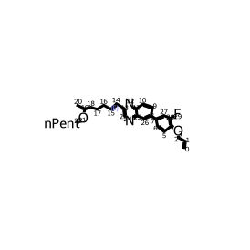 C=CCOc1ccc(-c2ccc3nc(/C=C/CCCC(C)OCCCCC)cnc3c2)cc1F